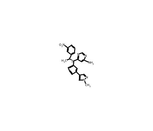 CC(c1cccc([N+](=O)[O-])c1)[C@H](c1cccc(-c2cnn(C)c2)c1)c1cc(N)ncn1